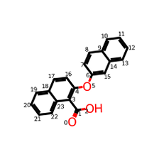 O=C(O)c1c(Oc2ccc3ccccc3c2)ccc2ccccc12